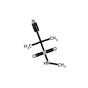 CNS(=O)(=O)C(C)(C)C#N